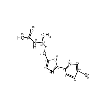 C[C@@H](COc1cnc(-c2ccc(Br)cn2)o1)NC(=O)O